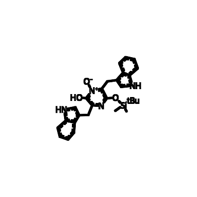 CC(C)(C)[Si](C)(C)Oc1nc(Cc2c[nH]c3ccccc23)c(O)[n+]([O-])c1Cc1c[nH]c2ccccc12